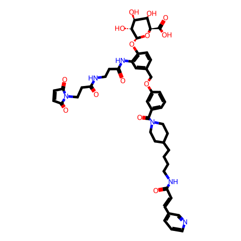 O=C(/C=C/c1cccnc1)NCCCCC1CCN(C(=O)c2cccc(OCc3ccc(O[C@@H]4O[C@H](C(=O)O)[C@@H](O)[C@H](O)[C@H]4O)c(NC(=O)CCNC(=O)CCN4C(=O)C=CC4=O)c3)c2)CC1